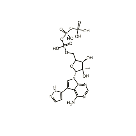 C[C@@]1(O)[C@H](O)C(COP(=O)(O)OP(=O)(O)OP(=O)(O)O)O[C@H]1n1cc(-c2ccn[nH]2)c2c(N)ncnc21